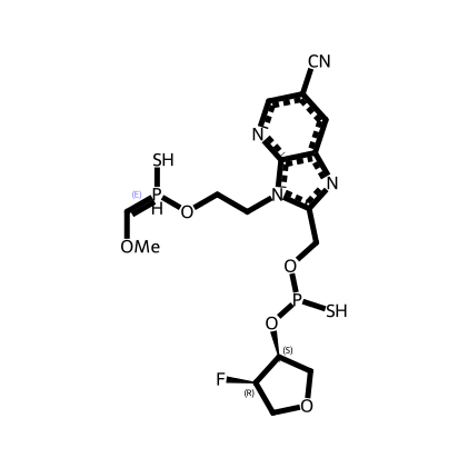 CO/C=[PH](/S)OCCn1c(COP(S)O[C@H]2COC[C@H]2F)nc2cc(C#N)cnc21